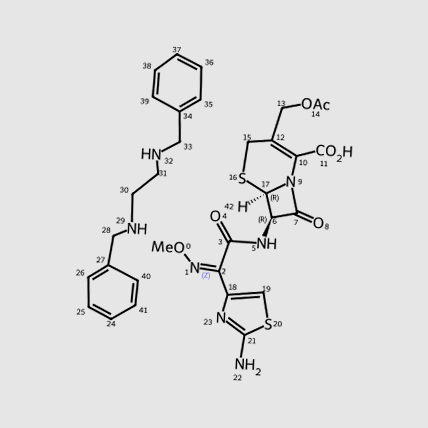 CO/N=C(\C(=O)N[C@@H]1C(=O)N2C(C(=O)O)=C(COC(C)=O)CS[C@H]12)c1csc(N)n1.c1ccc(CNCCNCc2ccccc2)cc1